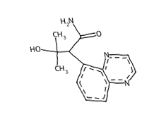 CC(C)(O)C(C(N)=O)c1cccc2nccnc12